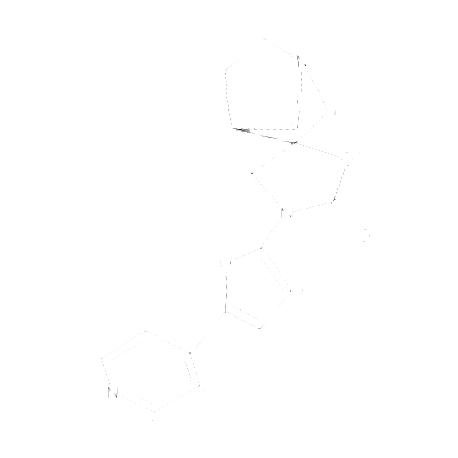 O=C1OC2(CN3CCC2CC3)CN1c1ccc(-c2ccncc2)o1